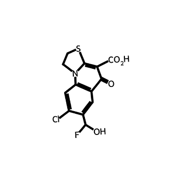 O=C(O)c1c2n(c3cc(Cl)c(C(O)F)cc3c1=O)CCS2